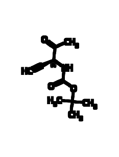 C#C[C@H](NC(=O)OC(C)(C)C)C(C)=O